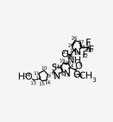 COC(=O)c1nc2nc([C@H]3CC[C@H](CO)CC3)sc2cc1NC(=O)c1cccc(C(F)(F)F)n1